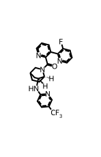 O=C(c1ncccc1-c1ncccc1F)N1CC2CC[C@H]1[C@H](Nc1ccc(C(F)(F)F)cn1)C2